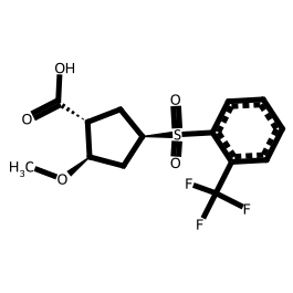 CO[C@@H]1C[C@H](S(=O)(=O)c2ccccc2C(F)(F)F)C[C@H]1C(=O)O